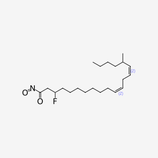 CCCCC(C)/C=C\C/C=C\CCCCCCCC(F)CC(=O)N=O